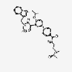 CC(=O)NCCNC(=O)c1ccc(-c2ccc(OC(C)C)c(C(=O)N[C@@H](CO)Cc3c[nH]c4ccccc34)c2)cc1